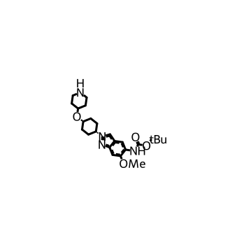 COc1cc2nn([C@H]3CC[C@H](OC4CCNCC4)CC3)cc2cc1NC(=O)OC(C)(C)C